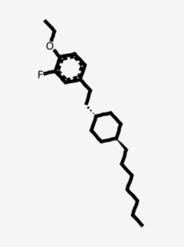 CCCCCCC[C@H]1CC[C@H](CCc2ccc(OCC)c(F)c2)CC1